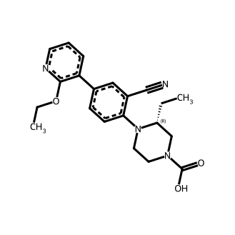 CCOc1ncccc1-c1ccc(N2CCN(C(=O)O)C[C@H]2CC)c(C#N)c1